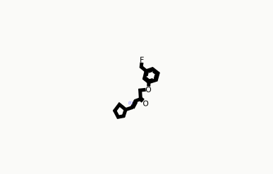 O=C(/C=C/C1CCCC1)COc1cccc(CF)c1